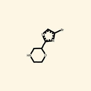 Brc1csc(C2CNCCO2)n1